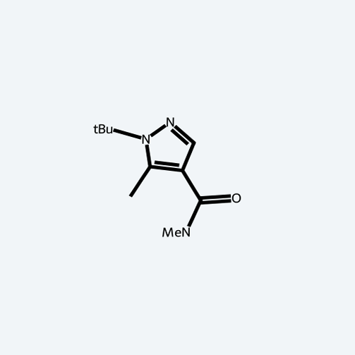 CNC(=O)c1cnn(C(C)(C)C)c1C